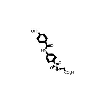 O=Cc1ccc(C(=O)Nc2ccc(S(=O)(=O)NCC(=O)O)cc2)cc1